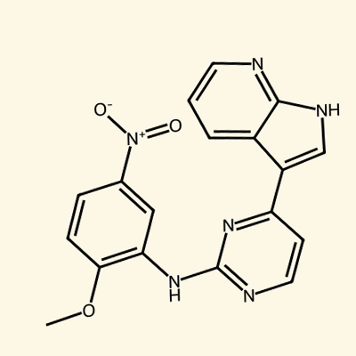 COc1ccc([N+](=O)[O-])cc1Nc1nccc(-c2c[nH]c3ncccc23)n1